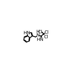 N=C(NCc1c[nH]c2ccccc12)C(Cl)(Cl)Cl